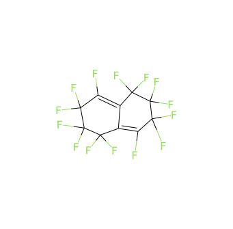 FC1=C2C(=C(F)C(F)(F)C(F)(F)C2(F)F)C(F)(F)C(F)(F)C1(F)F